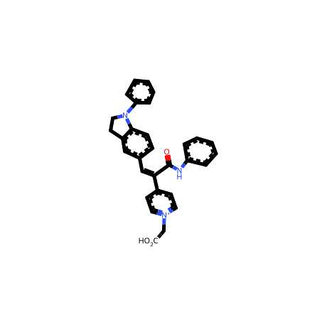 O=C(O)C[n+]1ccc(/C(=C/c2ccc3c(c2)CCN3c2ccccc2)C(=O)Nc2ccccc2)cc1